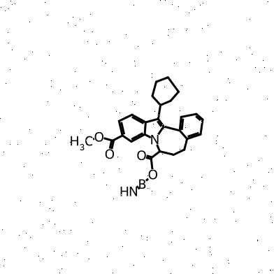 COC(=O)c1ccc2c(C3CCCCC3)c3n(c2c1)C(C(=O)OB=N)CCc1ccccc1-3